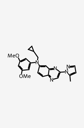 COc1cc(OC)cc(N(CC2CC2)c2ccc3ncc(-n4nccc4C)nc3c2)c1